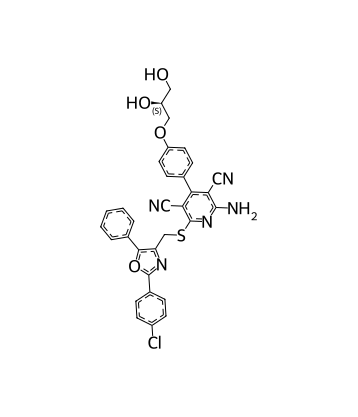 N#Cc1c(N)nc(SCc2nc(-c3ccc(Cl)cc3)oc2-c2ccccc2)c(C#N)c1-c1ccc(OC[C@@H](O)CO)cc1